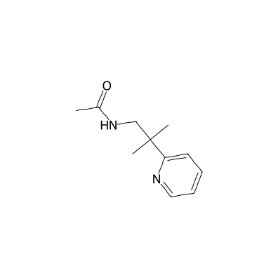 CC(=O)NCC(C)(C)c1ccccn1